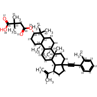 C=C(C)[C@@H]1CCC2(C#Cc3ccccc3C)CC[C@]3(C)C(CCC4[C@@]5(C)CC[C@H](OC(=O)CC(C)(C)C(=O)O)C(C)(C)C5CC[C@]43C)C12